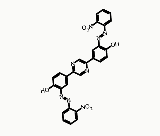 O=[N+]([O-])c1ccccc1/N=N/c1cc(-c2cnc(-c3ccc(O)c(/N=N/c4ccccc4[N+](=O)[O-])c3)cn2)ccc1O